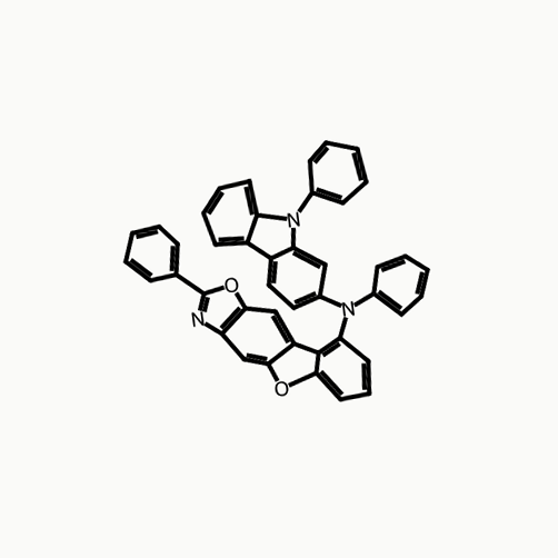 c1ccc(-c2nc3cc4oc5cccc(N(c6ccccc6)c6ccc7c8ccccc8n(-c8ccccc8)c7c6)c5c4cc3o2)cc1